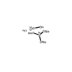 CCO.CO[SiH](OC)OC.Cl.O